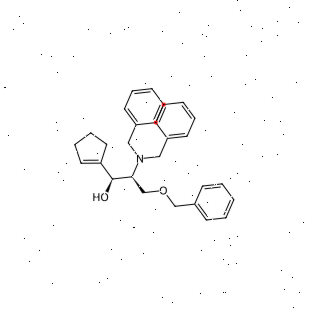 O[C@@H](C1=CCCC1)[C@H](COCc1ccccc1)N(Cc1ccccc1)Cc1ccccc1